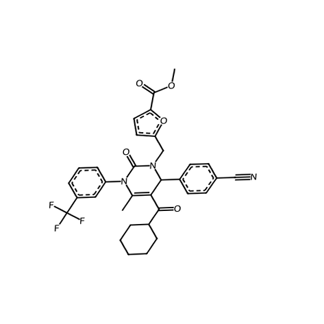 COC(=O)c1ccc(CN2C(=O)N(c3cccc(C(F)(F)F)c3)C(C)=C(C(=O)C3CCCCC3)C2c2ccc(C#N)cc2)o1